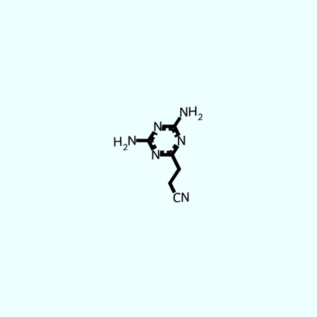 N#CCCc1nc(N)nc(N)n1